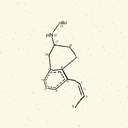 C/C=C\c1cccc2c1CCC(NCCCC)C2